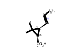 CC1(C)[C@H](C(=O)O)[C@@H]1/C=C/C(F)(F)F